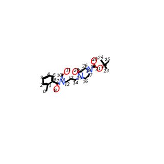 Cc1ccccc1C(=O)N(C=O)CCCN1CCN(C(=O)OC(C)(C)C)CC1=O